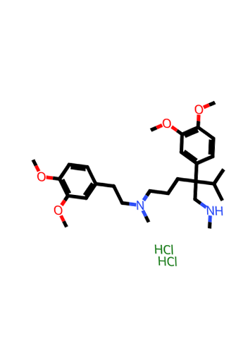 CNCC(CCCN(C)CCc1ccc(OC)c(OC)c1)(c1ccc(OC)c(OC)c1)C(C)C.Cl.Cl